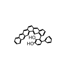 Oc1ccc(-c2ccccc2)c(-c2cccc3cc4ccc5cc6cc7ccccc7cc6cc5c4cc23)c1O